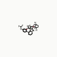 Cc1cc(N2C[C@H]3CC[C@@H](C2)C3Nc2nc3c(-c4ccc(OC(F)F)cc4)cccn3n2)sn1